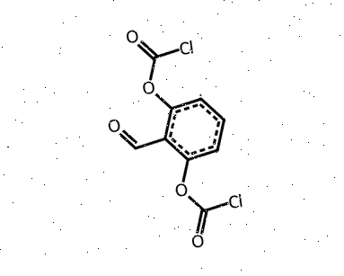 O=Cc1c(OC(=O)Cl)[c]ccc1OC(=O)Cl